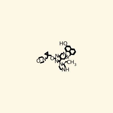 CC[C@H]1CNCCN1c1nc(OCC2(CN3CCOCC3)CC2)nc2c1CCN(c1cc(O)cc3cccc(Br)c13)C2